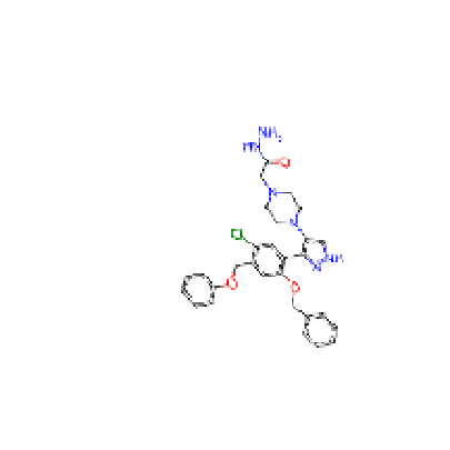 NNC(=O)CN1CCN(c2c[nH]nc2-c2cc(Cl)c(COc3ccccc3)cc2OCc2ccccc2)CC1